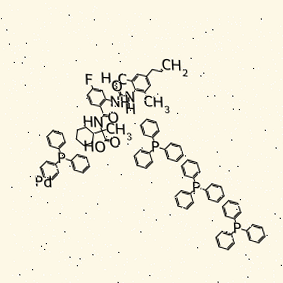 C=CCc1cc(C)c(NC(=O)Nc2cc(F)ccc2C(=O)NC(C)(C(=O)O)C2CCCCC2)c(C)c1.[Pd].c1ccc(P(c2ccccc2)c2ccccc2)cc1.c1ccc(P(c2ccccc2)c2ccccc2)cc1.c1ccc(P(c2ccccc2)c2ccccc2)cc1.c1ccc(P(c2ccccc2)c2ccccc2)cc1